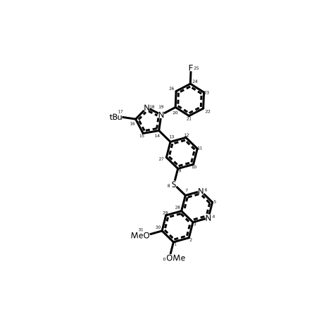 COc1cc2ncnc(Sc3cccc(-c4cc(C(C)(C)C)nn4-c4cccc(F)c4)c3)c2cc1OC